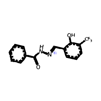 O=C(N/N=C/c1cccc(C(F)(F)F)c1O)c1ccccc1